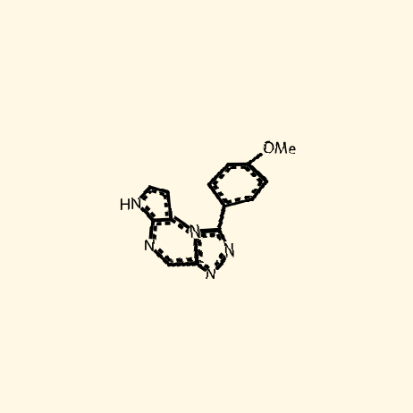 COc1ccc(-c2nnc3cnc4[nH]ccc4n23)cc1